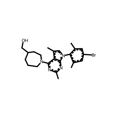 Cc1nc(N2CCCC(CO)CC2)c2c(C)cn(-c3c(C)cc(Br)cc3C)c2n1